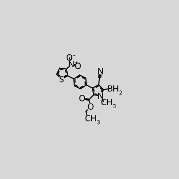 Bc1c(C#N)c(-c2ccc(-c3sccc3[N+](=O)[O-])cc2)c(C(=O)OCC)n1C